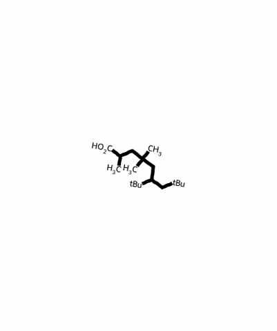 CC(CC(C)(C)CC(CC(C)(C)C)C(C)(C)C)C(=O)O